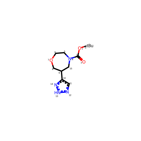 CC(C)(C)OC(=O)N1CCOCC(c2cn[nH]n2)C1